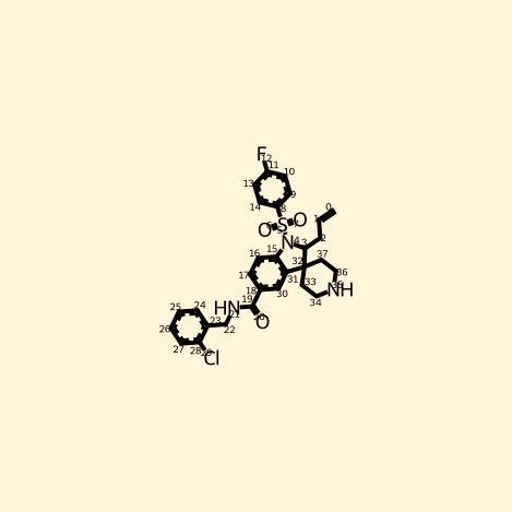 C=CCC1N(S(=O)(=O)c2ccc(F)cc2)c2ccc(C(=O)NCc3ccccc3Cl)cc2C12CCNCC2